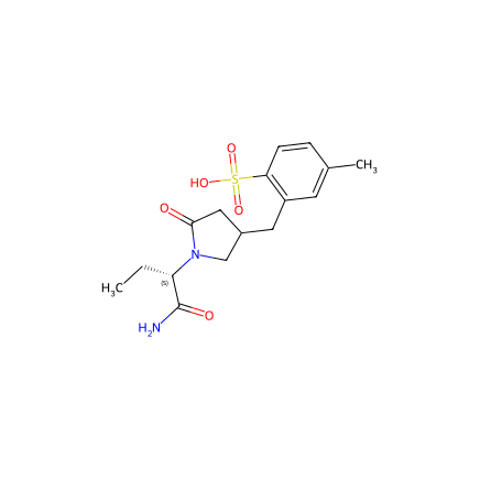 CC[C@@H](C(N)=O)N1CC(Cc2cc(C)ccc2S(=O)(=O)O)CC1=O